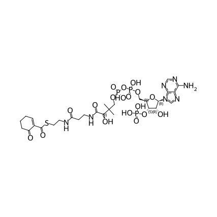 CC(C)(COP(=O)(O)OP(=O)(O)OC[C@H]1O[C@@H](n2cnc3c(N)ncnc32)[C@H](O)[C@@H]1OP(=O)(O)O)[C@@H](O)C(=O)NCCC(=O)NCCSC(=O)C1=CCCCC1=O